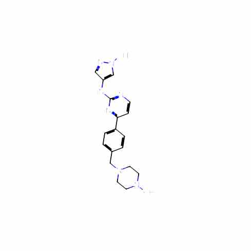 CN1CCN(Cc2ccc(-c3ccnc(Nc4cnn(C)c4)n3)cc2)CC1